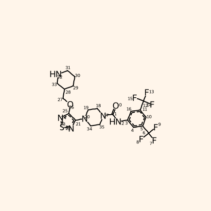 O=C(Nc1cc(C(F)(F)F)cc(C(F)(F)F)c1)N1CCN(c2nsnc2OCC2CCCNC2)CC1